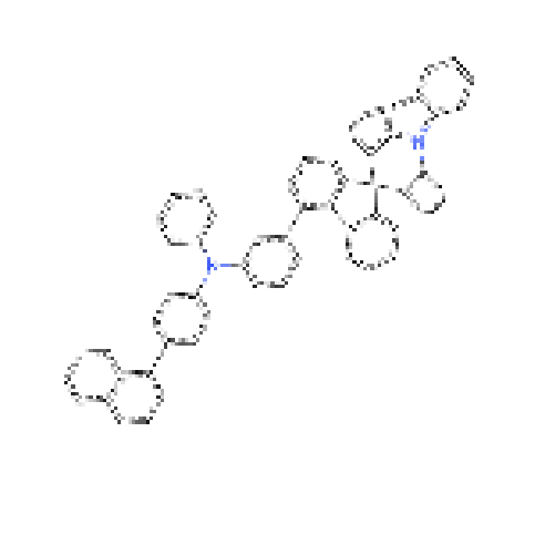 c1ccc(N(c2ccc(-c3cccc4ccccc34)cc2)c2cccc(-c3cccc4c3-c3ccccc3C43c4ccccc4-n4c5ccccc5c5cccc3c54)c2)cc1